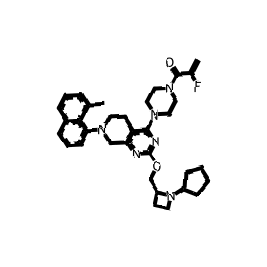 C=C(F)C(=O)N1CCN(c2nc(OCC3CCN3C3CCCC3)nc3c2CCN(c2cccc4cccc(C)c24)C3)CC1